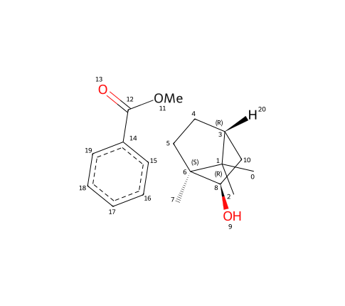 CC1(C)[C@@H]2CC[C@]1(C)[C@H](O)C2.COC(=O)c1ccccc1